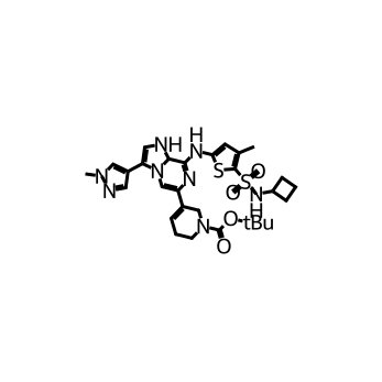 Cc1cc(NC2=NC(C3=CCCN(C(=O)OC(C)(C)C)C3)=CN3C(c4cnn(C)c4)=CNC23)sc1S(=O)(=O)NC1CCC1